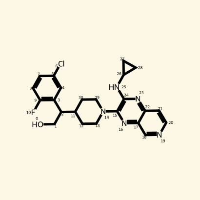 OCC(c1cc(Cl)ccc1F)C1CCN(c2nc3cnccc3nc2NC2CC2)CC1